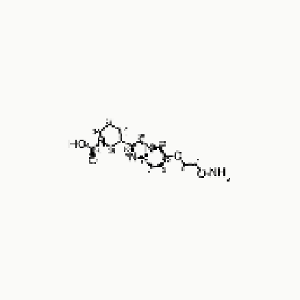 NOCCOc1ccc2nc(C3CCCN(C(=O)O)C3)cn2c1